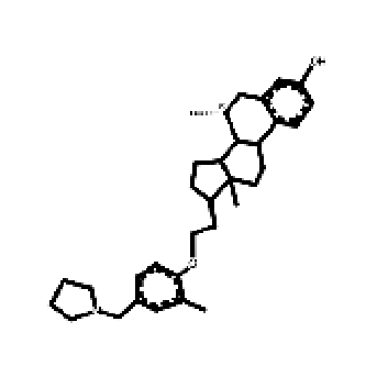 Cc1cc(CN2CCCC2)ccc1OCCC1CCC2C3C(CCC12C)c1ccc(O)cc1C[C@H]3C